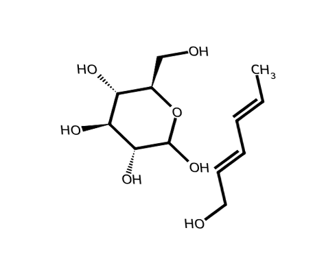 C/C=C/C=C/CO.OC[C@H]1OC(O)[C@H](O)[C@@H](O)[C@@H]1O